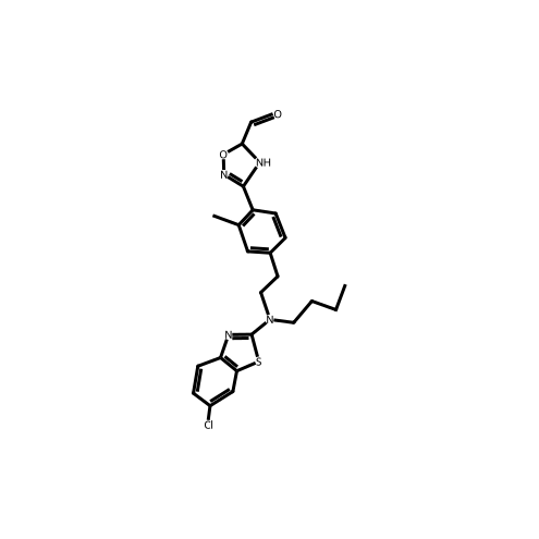 CCCCN(CCc1ccc(C2=NOC(C=O)N2)c(C)c1)c1nc2ccc(Cl)cc2s1